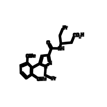 COc1cccc(OC)c1-c1cc(C(=O)NC(CC(=O)O)CC(C)C)nn1CC(C)C